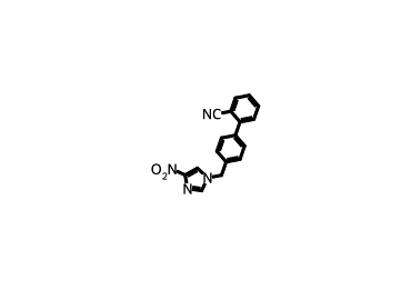 N#Cc1ccccc1-c1ccc(Cn2cnc([N+](=O)[O-])c2)cc1